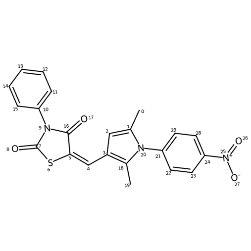 Cc1cc(/C=C2/SC(=O)N(c3ccccc3)C2=O)c(C)n1-c1ccc([N+](=O)[O-])cc1